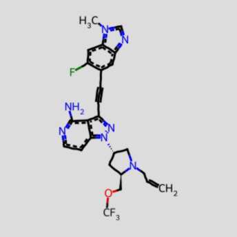 C=CCN1C[C@@H](n2nc(C#Cc3cc4ncn(C)c4cc3F)c3c(N)nccc32)C[C@@H]1COC(F)(F)F